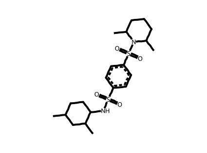 CC1CCC(NS(=O)(=O)c2ccc(S(=O)(=O)N3C(C)CCCC3C)cc2)C(C)C1